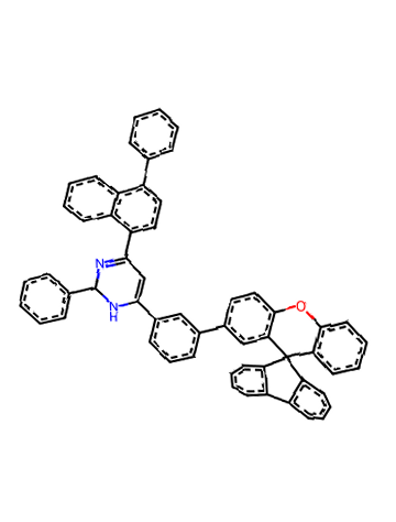 C1=C(c2cccc(-c3ccc4c(c3)C3(c5ccccc5O4)c4ccccc4-c4ccccc43)c2)NC(c2ccccc2)N=C1c1ccc(-c2ccccc2)c2ccccc12